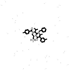 Cc1ccc(C(=O)N(CCCN)C(c2nc(=O)c(-c3cccc(C)c3)c(C)n2Cc2ccccc2)C(C)C)cc1